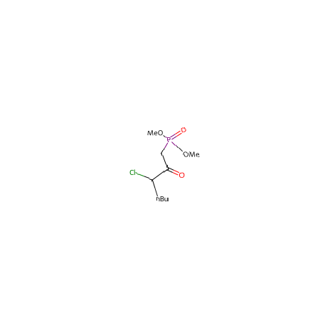 CCCCC(Cl)C(=O)CP(=O)(OC)OC